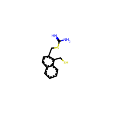 N=C(N)SCc1ccc2ccccc2c1CS